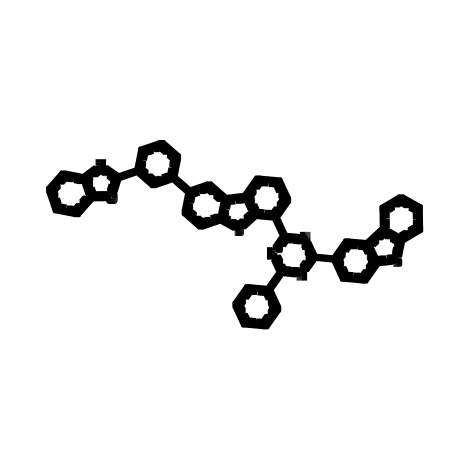 c1ccc(-c2nc(-c3ccc4sc5ccccc5c4c3)nc(-c3cccc4c3sc3ccc(-c5cccc(-c6nc7ccccc7o6)c5)cc34)n2)cc1